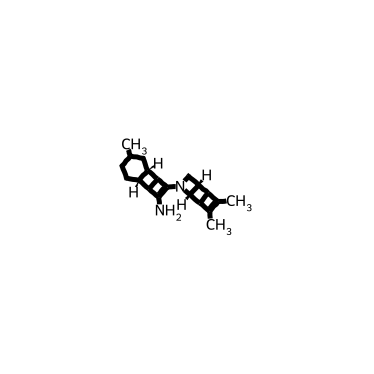 CC1=C(C)C2C1[C@H]1CN(C3=C(N)C4C3[C@@H]3CC(C)CC[C@H]43)[C@@H]21